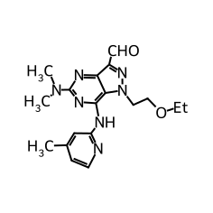 CCOCCn1nc(C=O)c2nc(N(C)C)nc(Nc3cc(C)ccn3)c21